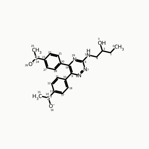 CCC(O)CNc1nnc(-c2ccc([S+](C)[O-])cc2)c(-c2ccc([S+](C)[O-])cc2)n1